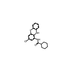 O=C(Nc1cc(Cl)cc2c1Nc1ccccc1S2)C1CCCCC1